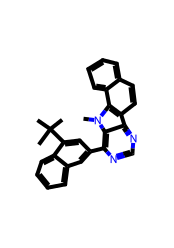 Cn1c2c(-c3cc(C(C)(C)C)c4ccccc4c3)ncnc2c2ccc3ccccc3c21